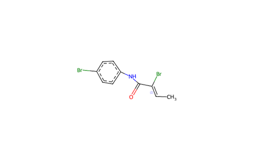 C/C=C(\Br)C(=O)Nc1ccc(Br)cc1